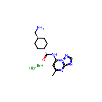 Br.Br.Cc1cc(NC(=O)[C@H]2CC[C@H](CN)CC2)n2ncnc2n1